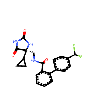 O=C1NC(=O)[C@](CNC(=O)c2ccccc2-c2ccc(C(F)F)cc2)(C2CC2)N1